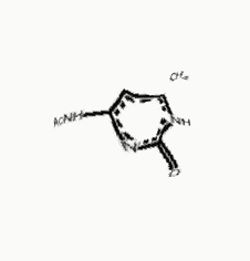 C.CC(=O)Nc1cc[nH]c(=O)n1